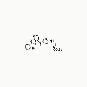 CCCc1oc(-c2ccccc2Br)nc1C(=O)Nc1ccc(N[C@H]2CCN(C(=O)OCC)C2)nc1